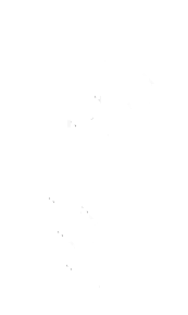 CN(C)c1nc(NC2CCC(NC(=S)Nc3ccccc3OC(F)F)CC2)nc2c1CCCC2